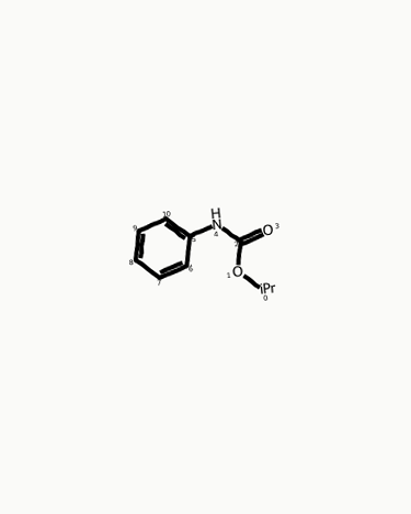 CC(C)OC(=O)Nc1[c]cccc1